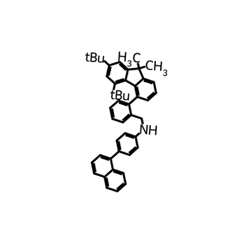 CC(C)(C)c1cc(C(C)(C)C)c2c(c1)C(C)(C)c1cccc(-c3ccccc3CNc3ccc(-c4cccc5ccccc45)cc3)c1-2